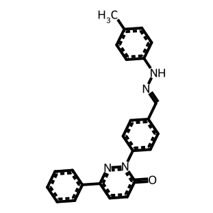 Cc1ccc(NN=Cc2ccc(-n3nc(-c4ccccc4)ccc3=O)cc2)cc1